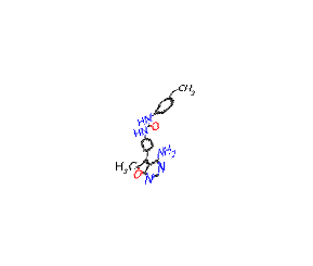 CCc1cccc(NC(=O)Nc2ccc(-c3c(C)oc4ncnc(N)c34)cc2)c1